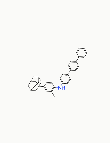 Cc1cc(C23CC4CC(CC(C4)C2)C3)ccc1Nc1ccc(-c2ccc(-c3ccccc3)cc2)cc1